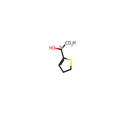 O=C(O)[C@H](O)C1=CCCS1